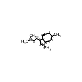 C/C1=C/C=C2\C(C#CC1)C(CCN(C)C)=CN2C